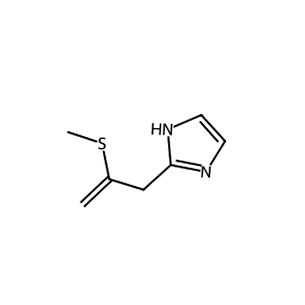 C=C(Cc1ncc[nH]1)SC